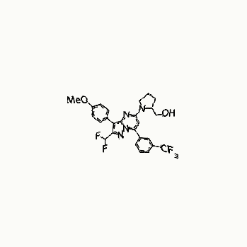 COc1ccc(-c2c(C(F)F)nn3c(-c4cccc(C(F)(F)F)c4)cc(N4CCCC4CO)nc23)cc1